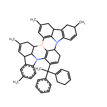 CC1=CC2=C3C(C1)C1=C(C=CC(C)C1)N3C1CC=C(C(C)(C3=CC=CCC3)c3ccccc3)C3=C1B2C1CC(C)=CC2c4cc(C)ccc4N3C12